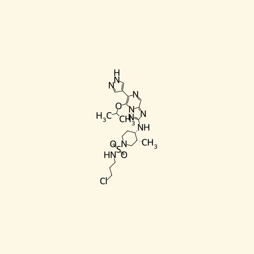 CC(C)Oc1c(-c2cn[nH]c2)ncc2nc(N[C@H]3CCN(S(=O)(=O)NCCCCl)C[C@H]3C)nn12